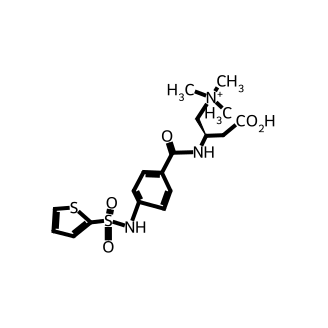 C[N+](C)(C)C[C@@H](CC(=O)O)NC(=O)c1ccc(NS(=O)(=O)c2cccs2)cc1